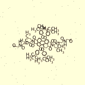 CC(C)CC(C(=O)OCCC(=O)NCC1CO1)N1C(=O)c2cc(Oc3ccc(C(C)(C)C)cc3)c3c4c5c6c(cc(Oc7ccc(C(C)(C)C)cc7)c5c5c(Oc7ccc(C(C)(C)C)cc7)cc(c2c35)C1=O)C(=O)N(C(CC(C)C)C(=O)OCCC(=O)NCC1CO1)C(=O)C6CC=4Oc1ccc(C(C)(C)C)cc1